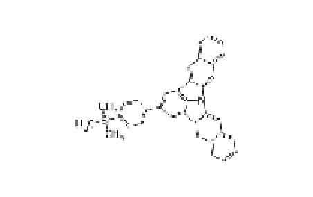 C[Si](C)(C)c1ccc(-c2cc3c4cc5ccccc5cc4n4c5cc6ccccc6cc5c(c2)c34)cc1